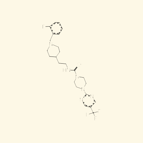 C[C@@H]1CN(c2ncc(C(F)(F)F)cn2)CCN1C(=O)NCCC1CCN(Cc2ccccc2F)CC1